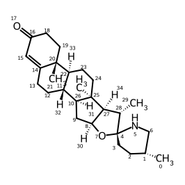 C[C@@H]1CC[C@@]2(NC1)O[C@H]1C[C@H]3[C@@H]4CCC5=CC(=O)CC[C@]5(C)[C@H]4CC[C@@]3(C)[C@H]1[C@@H]2C